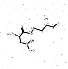 CCCCC[C@H](CN(O)C=O)C(=O)NNC[C@H](O)CO